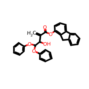 C=C(C(=O)Oc1cccc2c1Cc1ccccc1-2)C(O)C(Oc1ccccc1)Oc1ccccc1